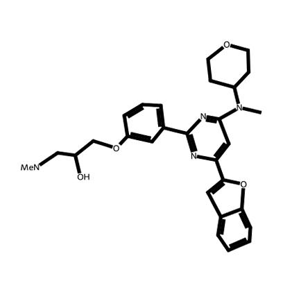 CNCC(O)COc1cccc(-c2nc(-c3cc4ccccc4o3)cc(N(C)C3CCOCC3)n2)c1